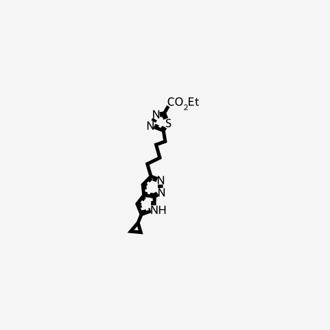 CCOC(=O)c1nnc(CCCCc2cc3cc(C4CC4)[nH]c3nn2)s1